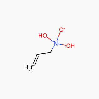 C=CC[N+]([O-])(O)O